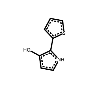 Oc1cc[nH]c1-c1cccs1